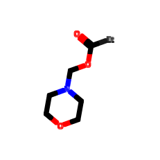 CCC(=O)OCN1CCOCC1